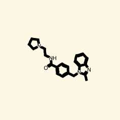 Cc1nc2ccccc2n1Cc1ccc(C(=O)NCCN2CCCC2)cc1